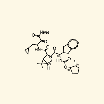 CNC(=O)C(=O)C(CC1CC1)NC(=O)C1C2[C@H](CN1C(=O)[C@@H](NC(=O)O[C@H]1CCC[C@@H]1C)C1Cc3ccccc3C1)C2(C)C